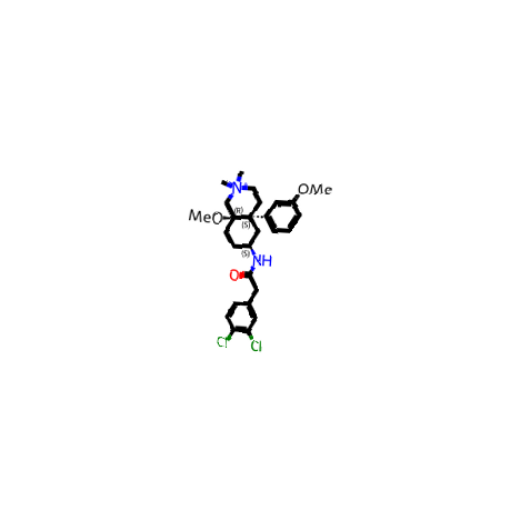 COc1cccc([C@@]23CC[N+](C)(C)C[C@@]2(OC)CC[C@H](NC(=O)Cc2ccc(Cl)c(Cl)c2)C3)c1